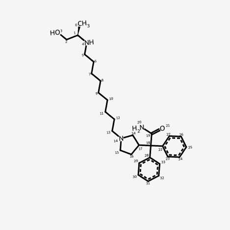 C[C@H](CO)NCCCCCCCCCN1CCC(C(C(N)=O)(c2ccccc2)c2ccccc2)C1